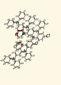 Clc1cc2c3c(c1)N(c1ccccc1)c1cc4c(cc1B3c1cc3c(cc1O2)N(c1ccccc1)c1cc(N(c2ccccc2)c2ccccc2)cc2c1B3c1ccccc1O2)B1c2ccccc2Oc2cc(N(c3ccccc3)c3ccccc3)cc(c21)N4c1ccccc1